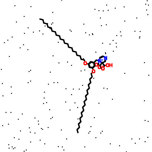 CCCCCCCCCCCCCCCCCCCCCCOc1cc(C[N+]2(C(=O)[O-])C=CN=CC2(CC)C(=O)O)cc(OCCCCCCCCCCCCCCCCCCCCCC)c1